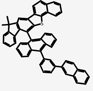 CC1(C)c2ccccc2-c2c1cc1c(sc3c4ccccc4ccc13)c2-c1c2ccccc2c(-c2cccc(-c3ccc4ccccc4c3)c2)c2ccccc12